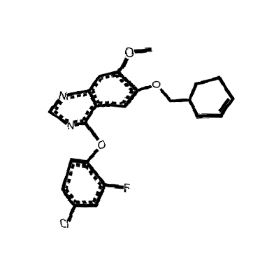 COc1cc2ncnc(Oc3ccc(Cl)cc3F)c2cc1OCC1CC=CCC1